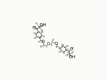 CC(COCC(C)OCc1ccc(C(=O)C(C)(C)O)cc1)OCc1ccc(C(=O)C(C)(C)O)cc1